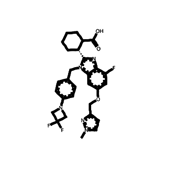 Cn1ccc(COc2cc(F)c3nc([C@@H]4CCCCC4C(=O)O)n(Cc4ccc(N5CC(F)(F)C5)cc4)c3c2)n1